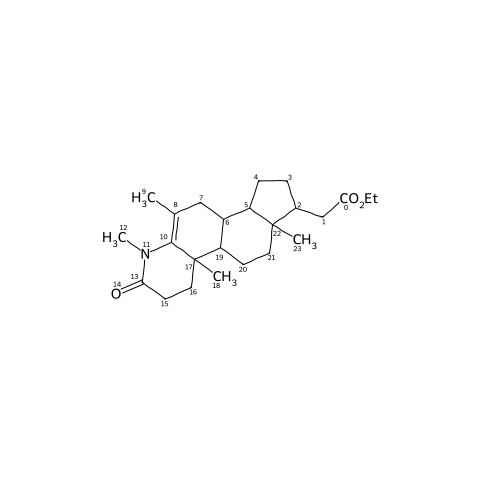 CCOC(=O)CC1CCC2C3CC(C)=C4N(C)C(=O)CCC4(C)C3CCC12C